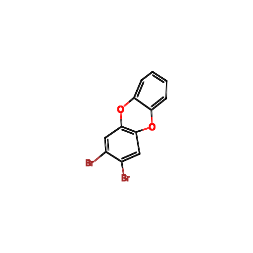 Brc1cc2c(cc1Br)Oc1ccccc1O2